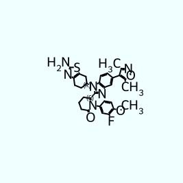 COc1ccc(N2C(=O)CCC[C@H]2c2nc3cc(-c4c(C)noc4C)ccc3n2[C@@H]2CCc3nc(N)sc3C2)cc1F